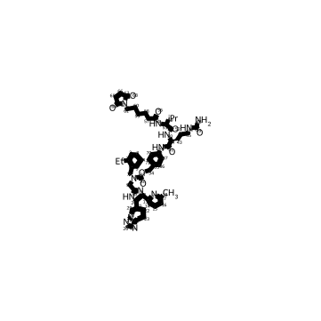 CCc1ccccc1CN(Cc1nc(-c2cccc(C)n2)c(-c2ccc3ncnn3c2)[nH]1)C(=O)OCc1ccc(NC(=O)[C@H](CCCNC(N)=O)NC(=O)C(NC(=O)CCCCCN2C(=O)C=CC2=O)C(C)C)cc1